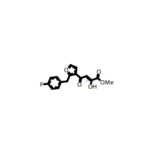 COC(=O)/C(O)=C/C(=O)c1ccoc1Cc1ccc(F)cc1